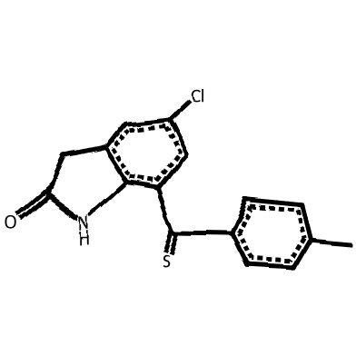 Cc1ccc(C(=S)c2cc(Cl)cc3c2NC(=O)C3)cc1